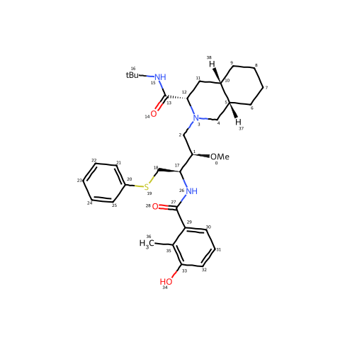 CO[C@H](CN1C[C@H]2CCCC[C@H]2C[C@H]1C(=O)NC(C)(C)C)[C@H](CSc1ccccc1)NC(=O)c1cccc(O)c1C